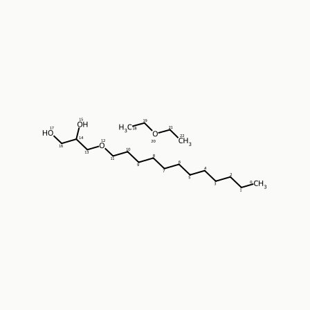 CCCCCCCCCCCCOCC(O)CO.CCOCC